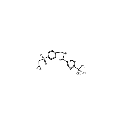 CC(NC(=O)c1ccc(C(O)(C(F)(F)F)C(F)(F)F)cc1)c1ccc(S(=O)(=O)CC2CC2)cc1